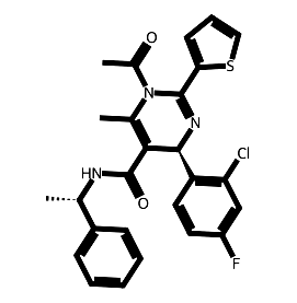 CC(=O)N1C(c2cccs2)=N[C@@H](c2ccc(F)cc2Cl)C(C(=O)N[C@@H](C)c2ccccc2)=C1C